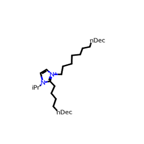 CCCCCCCCCCCCCCCCC[n+]1ccn(C(C)C)c1CCCCCCCCCCCCCC